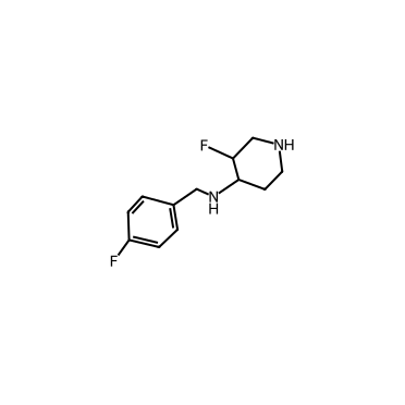 Fc1ccc(CNC2CCNCC2F)cc1